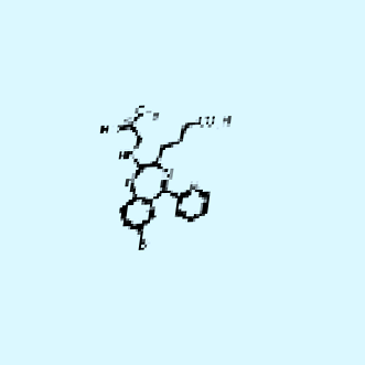 C[C@H](O)CNC1=Nc2ccc(Br)cc2C(c2ccccn2)=NC1CCCC(=O)O